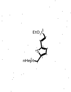 CCCCCCCCc1ccc(/C=C/C(=O)OCC)s1